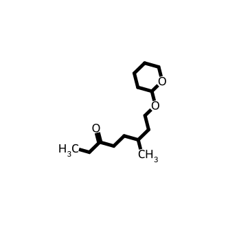 CCC(=O)CCC(C)CCOC1CCCCO1